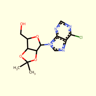 CC1(C)OC2C(CO)OC(n3cnc4c(Cl)ncnc43)C2O1